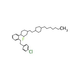 CCCCCCCC1CCC(CCC2CCC(c3ccccc3CCc3ccc(Cl)cc3)C(F)C2)CC1